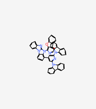 c1ccc2c(c1)nc1n(-c3nccc4c3oc3ccccc34)c3c(-c4cc(-n5c6ccccc6c6ccccc65)nc(-n5c6ccccc6c6ccccc65)c4)cccc3n21